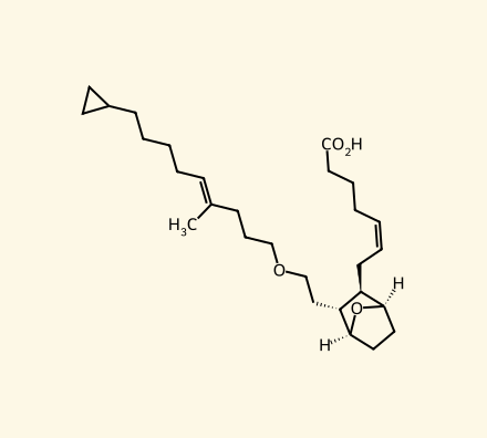 C/C(=C\CCCCC1CC1)CCCOCC[C@@H]1[C@@H](C/C=C\CCCC(=O)O)[C@H]2CC[C@@H]1O2